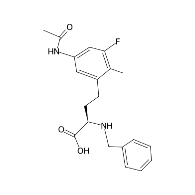 CC(=O)Nc1cc(F)c(C)c(CC[C@@H](NCc2ccccc2)C(=O)O)c1